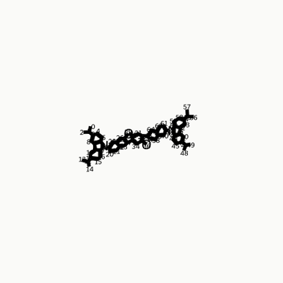 CC(C)c1ccc2c(c1)c1cc(C(C)C)ccc1n2-c1ccc2cc3c(cc2c1)oc1cc2c(cc13)oc1cc3cc(-n4c5ccc(C(C)C)cc5c5cc(C(C)C)ccc54)ccc3cc12